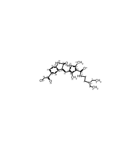 CCN(CC)CCNC(=O)c1c(C)[nH]c(/C=C2\C(=O)Nc3ccc(C(=O)CCl)cc32)c1C